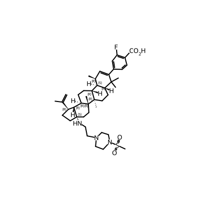 C=C(C)[C@@H]1CC[C@]2(NCCN3CCN(S(C)(=O)=O)CC3)CC[C@]3(C)[C@H](CC[C@@H]4[C@@H]5[C@@H](CC[C@]43C)C(C)(C)C(c3ccc(C(=O)O)c(F)c3)=C[C@@H]5C)[C@@H]12